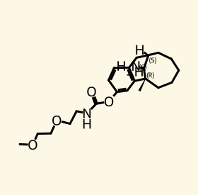 COCCOCCNC(=O)Oc1ccc2c(c1)[C@@]1(C)CCCCC[C@@H](C2)[C@@H]1N